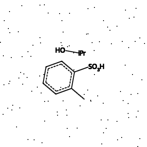 CC(C)O.Cc1ccccc1S(=O)(=O)O